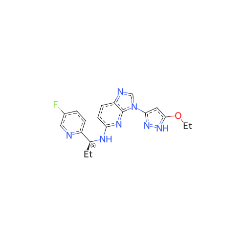 CCOc1cc(-n2cnc3ccc(N[C@@H](CC)c4ccc(F)cn4)nc32)n[nH]1